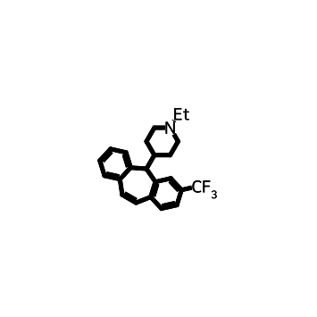 CCN1CCC(C2c3ccccc3C=Cc3ccc(C(F)(F)F)cc32)CC1